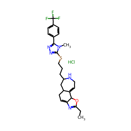 CCC1=NC2=CCC3CC(CCCSc4nnc(-c5ccc(C(F)(F)F)cc5)n4C)NCC=C3C2O1.Cl